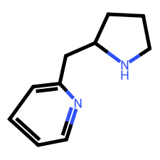 c1ccc(CC2CCCN2)nc1